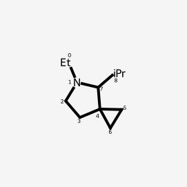 CCN1CCC2(CC2)C1C(C)C